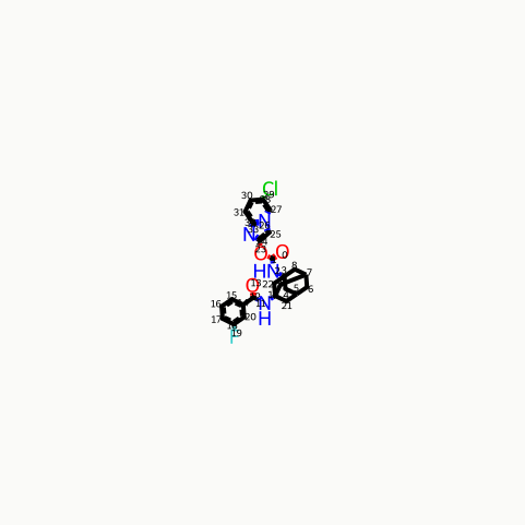 O=C(NC12CC3CC(C1)CC(NC(=O)c1cccc(F)c1)(C3)C2)Oc1cn2cc(Cl)ccc2n1